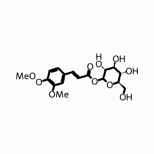 COOc1ccc(C=CC(=O)OC2O[C@H](CO)[C@@H](O)[C@H](O)[C@H]2O)cc1OC